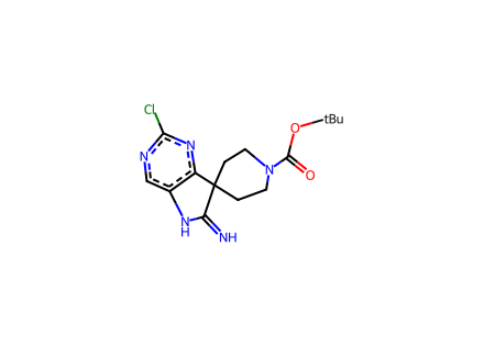 CC(C)(C)OC(=O)N1CCC2(CC1)C(=N)Nc1cnc(Cl)nc12